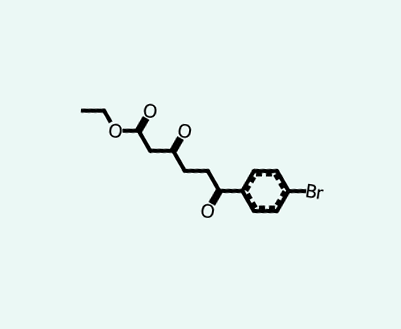 CCOC(=O)CC(=O)CCC(=O)c1ccc(Br)cc1